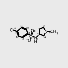 CN1CC[C@H](NS(=O)(=O)c2ccc(Cl)cc2)C1